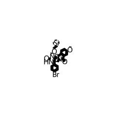 COc1ccc2c(c1)C(=O)N(C[C@@]1(c3ccc(Br)cc3)NC(=O)N(COCC[Si](C)(C)C)C1=O)C2